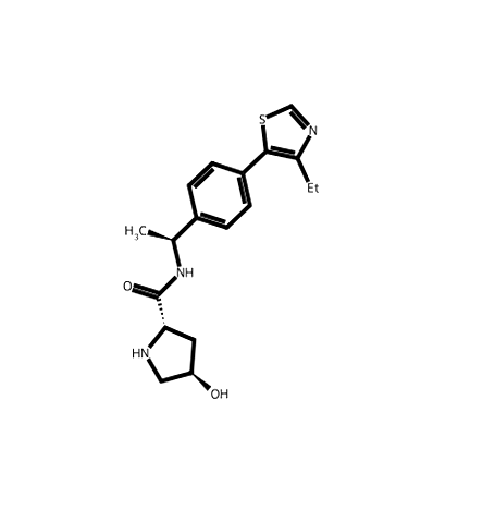 CCc1ncsc1-c1ccc([C@H](C)NC(=O)[C@@H]2C[C@@H](O)CN2)cc1